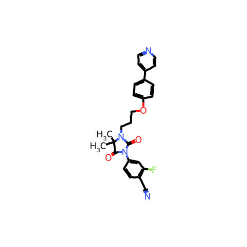 CC1(C)C(=O)N(c2ccc(C#N)c(F)c2)C(=O)N1CCCOc1ccc(-c2ccncc2)cc1